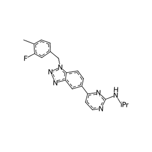 Cc1ccc(Cn2nnc3cc(-c4ccnc(NC(C)C)n4)ccc32)cc1F